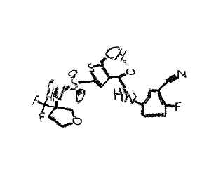 Cc1sc(S(=O)(=O)NC2(C(F)(F)F)CCOC2)cc1C(=O)Nc1ccc(F)c(C#N)c1